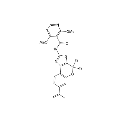 C=C(C)c1ccc2c(c1)OC(CC)(CC)c1sc(NC(=O)c3c(OC)ncnc3OC)nc1-2